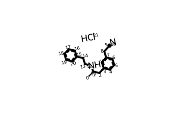 C[C@H](Cc1cccc(CC#N)c1)NCCc1ccccc1.Cl